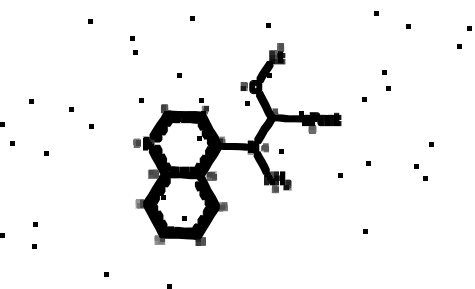 CCCCCC(OCC)N(N)c1ccnc2ccccc12